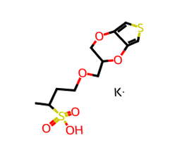 CC(CCOCC1COc2cscc2O1)S(=O)(=O)O.[K]